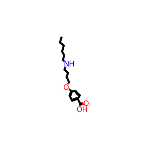 CCCCCCNCCCCOc1ccc(C(=O)O)cc1